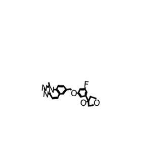 COC1(c2cc(F)cc(OCc3ccc4c(ccc5nnc(C)n54)c3)c2)CCOCC1